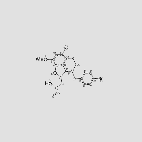 C=C[C@H](O)CC1Oc2c(OC)cc(Br)c3c2C1N(Cc1ccc(Br)cc1)CC3